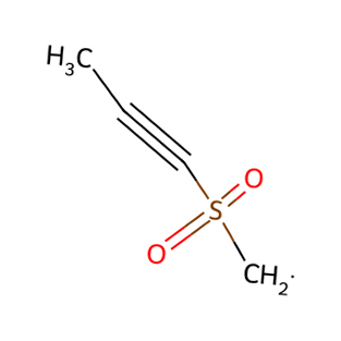 [CH2]S(=O)(=O)C#CC